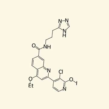 CCOc1cc(-c2ccnc(OI)c2Cl)nc2cc(C(=O)NCCCc3nnc[nH]3)ccc12